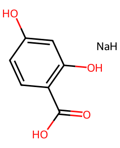 O=C(O)c1ccc(O)cc1O.[NaH]